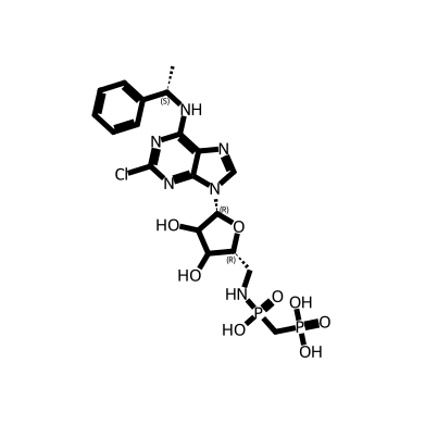 C[C@H](Nc1nc(Cl)nc2c1ncn2[C@@H]1O[C@H](CNP(=O)(O)CP(=O)(O)O)C(O)C1O)c1ccccc1